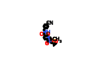 CS(=O)(=O)C1(CN2CCn3c(ccc(C(=O)NCc4ccc(C#N)cc4)c3=O)C2=O)CC1